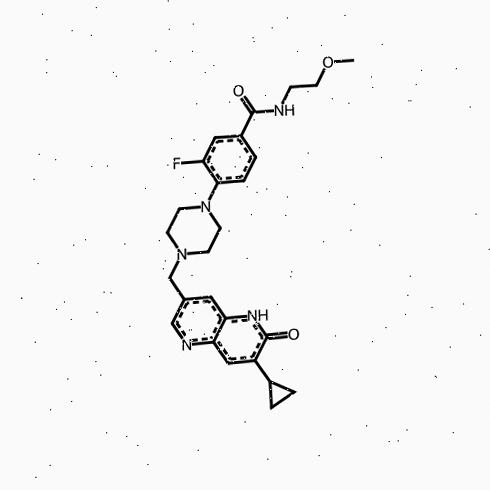 COCCNC(=O)c1ccc(N2CCN(Cc3cnc4cc(C5CC5)c(=O)[nH]c4c3)CC2)c(F)c1